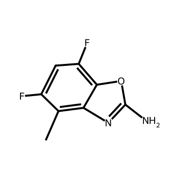 Cc1c(F)cc(F)c2oc(N)nc12